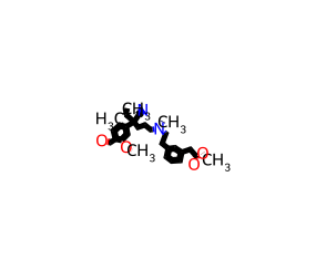 COC(=O)Cc1cccc(CCN(C)CCCC(C#N)(c2ccc(C=O)c(OC)c2)C(C)C)c1